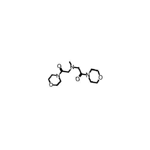 CN(CC(=O)N1CCOCC1)CC(=O)N1CCOCC1